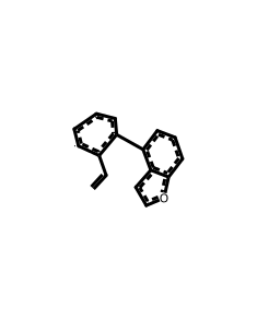 C=Cc1[c]cccc1-c1cccc2occc12